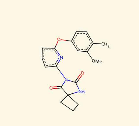 COc1cc(Oc2cccc(N3C(=O)NC4(CCC4)C3=O)n2)ccc1C